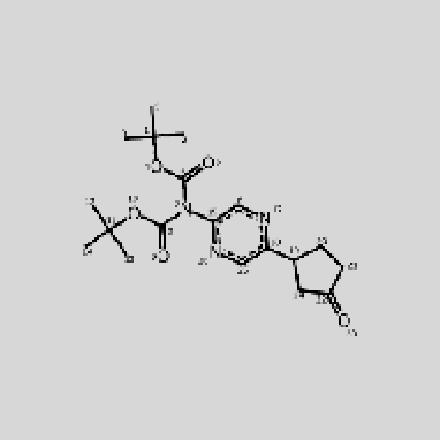 CC(C)(C)OC(=O)N(C(=O)OC(C)(C)C)c1cnc(C2CCC(=O)C2)cn1